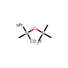 CCC[Si](C)(O[Si](C)(C)C)C(=O)O